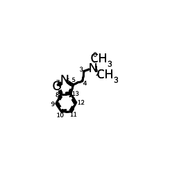 CN(C)CCc1noc2ccccc12